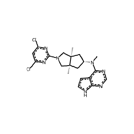 CN(c1ncnc2[nH]ccc12)[C@@H]1C[C@@]2(C)CN(c3nc(Cl)cc(Cl)n3)C[C@@]2(C)C1